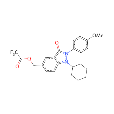 COc1ccc(-n2c(=O)c3cc(COC(=O)C(F)(F)F)ccc3n2C2CCCCC2)cc1